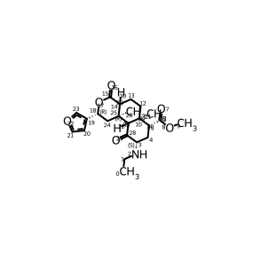 CCN[C@H]1C[C@@H](C(=O)OC)[C@]2(C)CC[C@H]3C(=O)O[C@@H](c4ccoc4)C[C@]3(C)[C@H]2C1=O